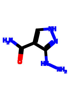 NNc1n[nH]cc1C(N)=O